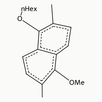 CCCCCCOc1c(C)ccc2c(OC)c(C)ccc12